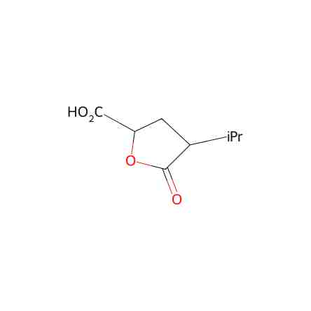 CC(C)C1CC(C(=O)O)OC1=O